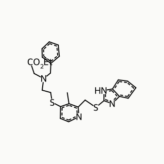 CCOC(=O)CN(CCSc1ccnc(CSc2nc3ccccc3[nH]2)c1C)Cc1ccccc1